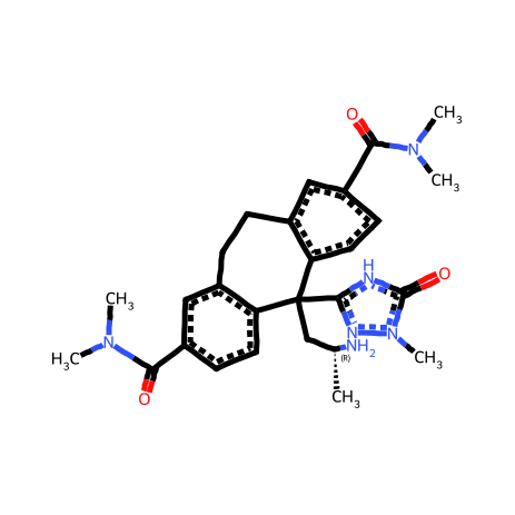 C[C@@H](N)CC1(c2nn(C)c(=O)[nH]2)c2ccc(C(=O)N(C)C)cc2CCc2cc(C(=O)N(C)C)ccc21